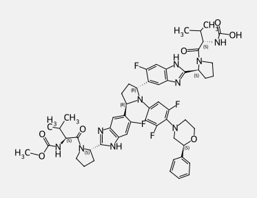 COC(=O)N[C@H](C(=O)N1CCC[C@H]1c1nc2cc([C@H]3CC[C@H](c4cc5nc([C@@H]6CCCN6C(=O)[C@@H](NC(=O)O)C(C)C)[nH]c5cc4F)N3c3cc(F)c(N4CCO[C@@H](c5ccccc5)C4)c(F)c3)c(F)cc2[nH]1)C(C)C